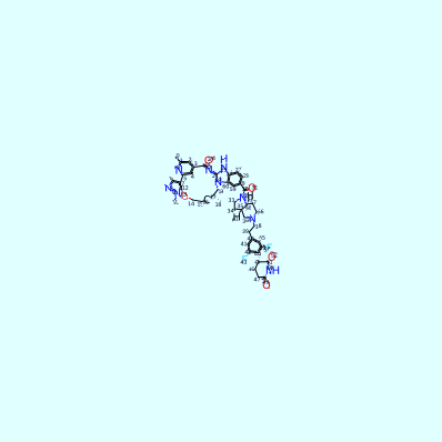 Cc1cc2cc(n1)-c1cnn(C)c1OCCC[C@@H](C)CN1/C(=N/C2=O)Nc2ccc(C(=O)N3CC[C@H]4CN(CCc5cc(F)c([C@H]6CCC(=O)NC6=O)c(F)c5)CC[C@H]43)cc21